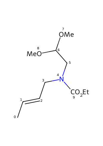 CC=CCN(CC(OC)OC)C(=O)OCC